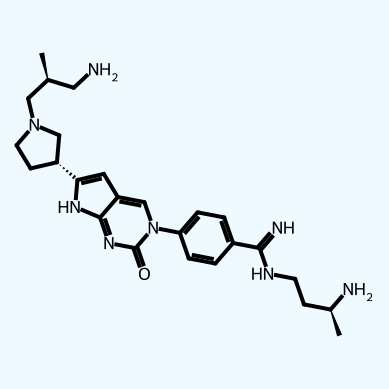 C[C@@H](CN)CN1CC[C@@H](c2cc3cn(-c4ccc(C(=N)NCC[C@H](C)N)cc4)c(=O)nc3[nH]2)C1